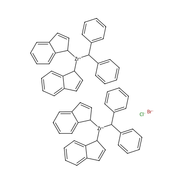 C1=C[CH]([Zr+]([CH]2C=Cc3ccccc32)[CH](c2ccccc2)c2ccccc2)c2ccccc21.C1=C[CH]([Zr+]([CH]2C=Cc3ccccc32)[CH](c2ccccc2)c2ccccc2)c2ccccc21.[Br-].[Cl-]